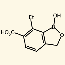 CCc1c(C(=O)O)ccc2c1B(O)OC2